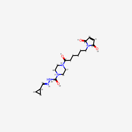 O=C(CCCCCN1C(=O)C=CC1=O)N1CCN(C(=O)N/N=C/C2CC2)CC1